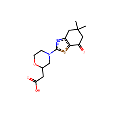 CC1(C)CC(=O)c2sc(N3CCOC(CC(=O)O)C3)nc2C1